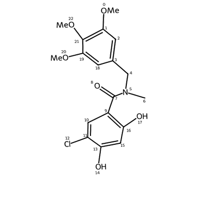 COc1cc(CN(C)C(=O)c2cc(Cl)c(O)cc2O)cc(OC)c1OC